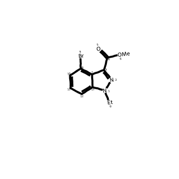 CCn1nc(C(=O)OC)c2c(Br)cccc21